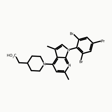 Cc1cc(N2CCC(CC(=O)O)CC2)c2c(C)cn(-c3c(Br)cc(C(C)C)cc3Br)c2n1